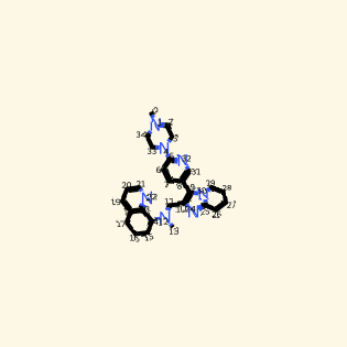 CN1CCN(c2ccc(-c3c(CN(C)[C@H]4CCCc5cccnc54)nc4ccccn34)cn2)CC1